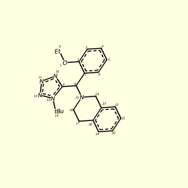 CCOc1ccccc1C(c1nnnn1C(C)(C)C)N1CCc2ccccc2C1